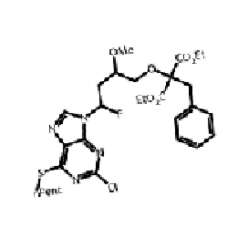 CCCCCSc1nc(Cl)nc2c1ncn2C(F)CC(COC(Cc1ccccc1)(C(=O)OCC)C(=O)OCC)OC